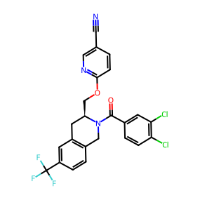 N#Cc1ccc(OC[C@@H]2Cc3cc(C(F)(F)F)ccc3CN2C(=O)c2ccc(Cl)c(Cl)c2)nc1